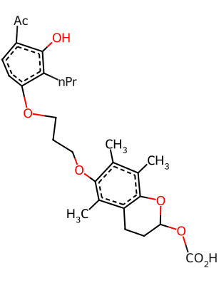 CCCc1c(OCCCOc2c(C)c(C)c3c(c2C)CCC(OC(=O)O)O3)ccc(C(C)=O)c1O